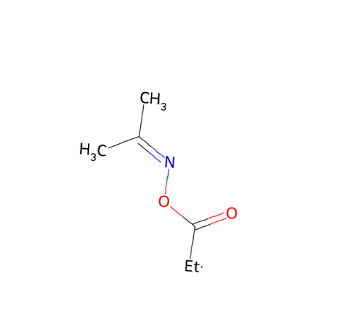 C[CH]C(=O)ON=C(C)C